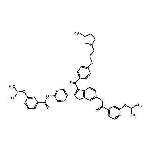 CC1CCN(CCOc2ccc(C(=O)c3c(-c4ccc(OC(=O)c5cccc(OC(C)C)c5)cc4)sc4cc(OC(=O)c5cccc(OC(C)C)c5)ccc34)cc2)C1